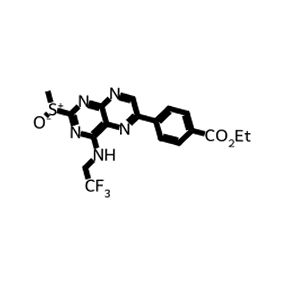 CCOC(=O)c1ccc(-c2cnc3nc([S+](C)[O-])nc(NCC(F)(F)F)c3n2)cc1